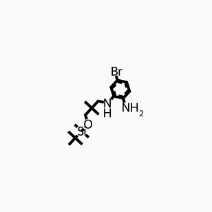 CC(C)(CNc1cc(Br)ccc1N)CO[Si](C)(C)C(C)(C)C